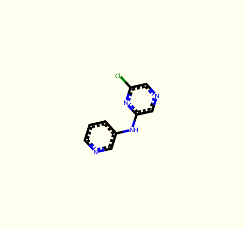 Clc1cncc(Nc2cccnc2)n1